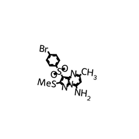 CSc1nn2c(N)cc(C)nc2c1S(=O)(=O)c1ccc(Br)cc1